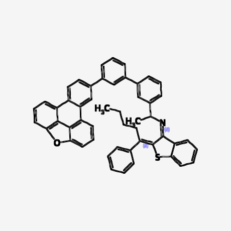 CCCC/C(=C1/Sc2ccccc2/C1=N/C(C)c1cccc(-c2cccc(-c3ccc4c(c3)c3cccc5oc6cccc4c6c53)c2)c1)c1ccccc1